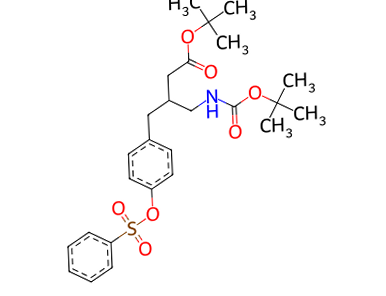 CC(C)(C)OC(=O)CC(CNC(=O)OC(C)(C)C)Cc1ccc(OS(=O)(=O)c2ccccc2)cc1